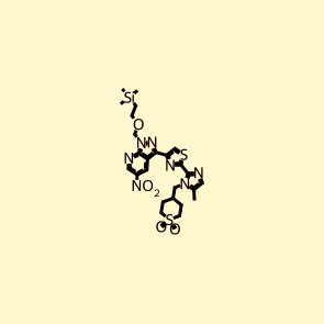 Cc1cnc(-c2nc(-c3nn(COCC[Si](C)(C)C)c4ncc([N+](=O)[O-])cc34)cs2)n1CC1CCS(=O)(=O)CC1